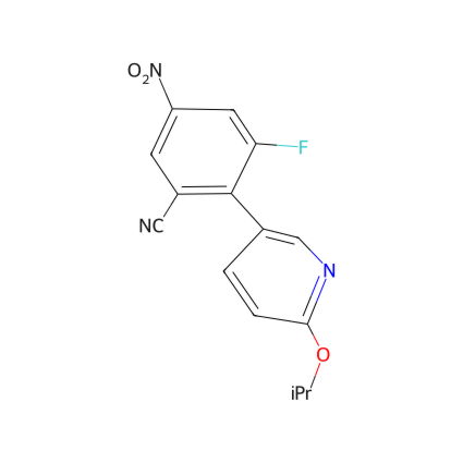 CC(C)Oc1ccc(-c2c(F)cc([N+](=O)[O-])cc2C#N)cn1